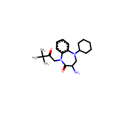 CC(C)(C)C(=O)CN1C(=O)C(N)CN(C2CCCCC2)c2ccccc21